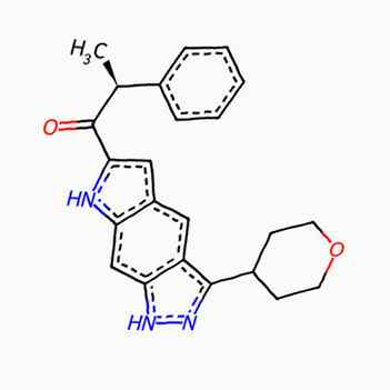 C[C@H](C(=O)c1cc2cc3c(C4CCOCC4)n[nH]c3cc2[nH]1)c1ccccc1